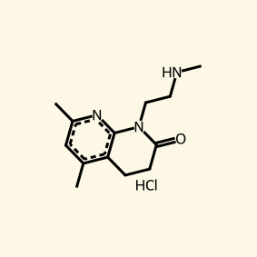 CNCCN1C(=O)CCc2c(C)cc(C)nc21.Cl